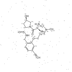 C#Cc1ccc(CNC(=O)[C@@H]2C[C@@H](O)CN2C(=O)[C@@H](N)C(C)(C)C)c(OCCCN(C)C)c1